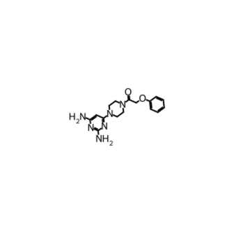 Nc1cc(N2CCN(C(=O)COc3ccccc3)CC2)nc(N)n1